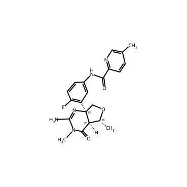 Cc1ccc(C(=O)Nc2ccc(F)c([C@]34CO[C@H](C)[C@H]3C(=O)N(C)C(N)=N4)c2)nc1